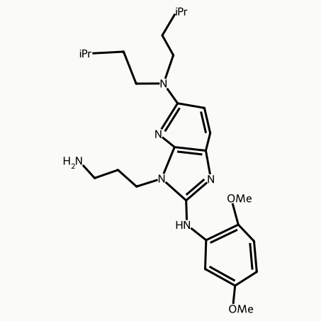 COc1ccc(OC)c(Nc2nc3ccc(N(CCC(C)C)CCC(C)C)nc3n2CCCN)c1